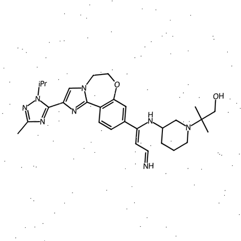 Cc1nc(-c2cn3c(n2)-c2ccc(/C(=C/C=N)NC4CCCN(C(C)(C)CO)C4)cc2OCC3)n(C(C)C)n1